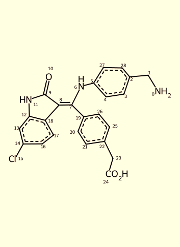 NCc1ccc(N/C(=C2\C(=O)Nc3cc(Cl)ccc32)c2ccc(CC(=O)O)cc2)cc1